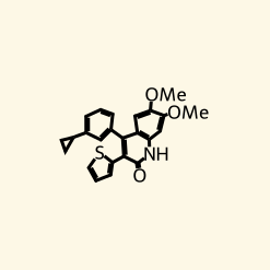 COc1cc2[nH]c(=O)c(-c3cccs3)c(-c3cccc(C4CC4)c3)c2cc1OC